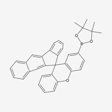 CC1(C)OB(c2ccc3c(c2)C2(c4ccccc4O3)c3ccccc3-c3cc4ccccc4cc32)OC1(C)C